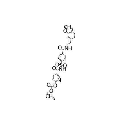 CCOC(=O)Oc1ccc(C(=O)NS(=O)(=O)c2ccc(C(=O)NCCc3cccc(OC)c3)cc2)cn1